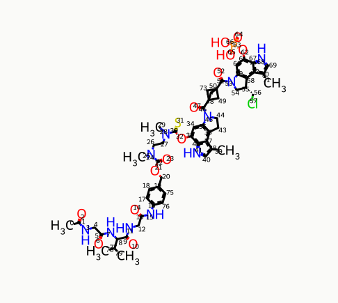 CC(=O)NCC(=O)NC(C(=O)NCC(=O)Nc1ccc(COC(=O)N(C)CCN(C)C(=S)Oc2cc3c(c4c(C)c[nH]c24)CCN3C(=O)C23CC(C(=O)N4C[C@@H](CCl)c5c4cc(OP(=O)(O)O)c4[nH]cc(C)c54)(C2)C3)cc1)C(C)C